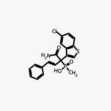 CP(=O)(O)C(/C=C/c1ccccc1)(C(N)=O)c1csc2ccc(Cl)cc12